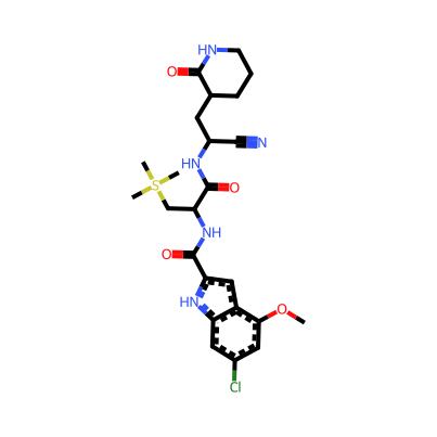 COc1cc(Cl)cc2[nH]c(C(=O)NC(CS(C)(C)C)C(=O)NC(C#N)CC3CCCNC3=O)cc12